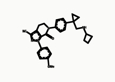 COc1ccc(-n2nc(C#N)c3c2C(=O)N(c2ccc(C4(CNC5CCC5)CC4)cc2)CC3)cc1